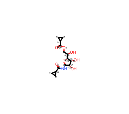 O=C(N[C@@H]1O[C@H]([C@H](O)COC(=O)C2CC2)[C@H](O)[C@@H]1O)C1CC1